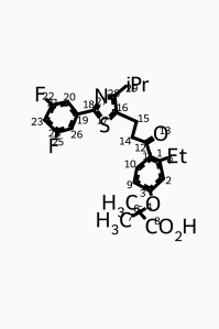 CCc1cc(OC(C)(C)C(=O)O)ccc1C(=O)CCc1sc(-c2cc(F)cc(F)c2)nc1C(C)C